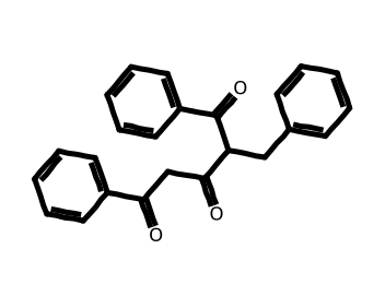 O=C(CC(=O)C(Cc1ccccc1)C(=O)c1ccccc1)c1ccccc1